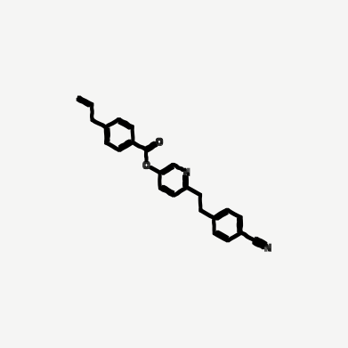 C=CCc1ccc(C(=O)Oc2ccc(CCc3ccc(C#N)cc3)nc2)cc1